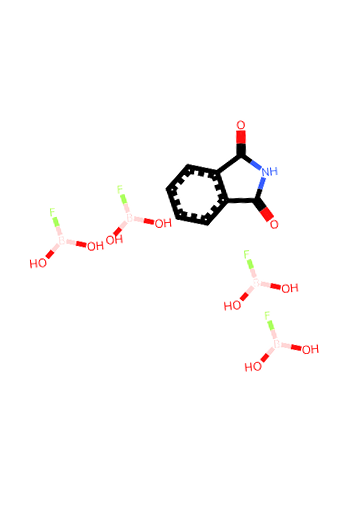 O=C1NC(=O)c2ccccc21.OB(O)F.OB(O)F.OB(O)F.OB(O)F